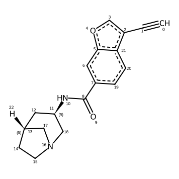 C#Cc1coc2cc(C(=O)N[C@@H]3C[C@H]4CCN(C4)C3)ccc12